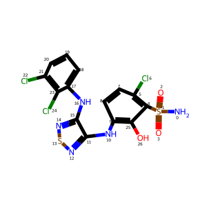 NS(=O)(=O)c1c(Cl)ccc(Nc2nsnc2Nc2cccc(Cl)c2Cl)c1O